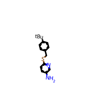 CC(C)(C)c1ccc(CSc2ccc(N)cn2)cc1